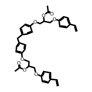 C=Cc1ccc(OCC(COc2ccc(Cc3ccc(OCC(COc4ccc(C=C)cc4)OC(C)=O)cc3)cc2)OC(C)=O)cc1